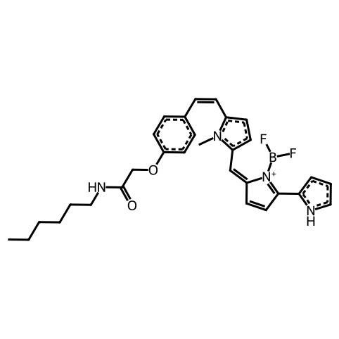 CCCCCCNC(=O)COc1ccc(/C=C\c2ccc(/C=C3/C=CC(c4ccc[nH]4)=[N+]3B(F)F)n2C)cc1